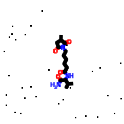 CC1CC(=O)N(CCCCCC(=O)NC(C(N)=O)C(C)C)C1=O